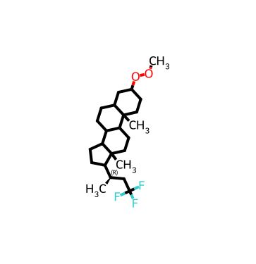 COOC1CCC2(C)C(CCC3C2CCC2(C)C3CCC2[C@H](C)CC(F)(F)F)C1